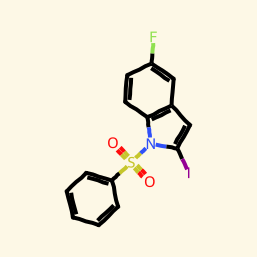 O=S(=O)(c1ccccc1)n1c(I)cc2cc(F)ccc21